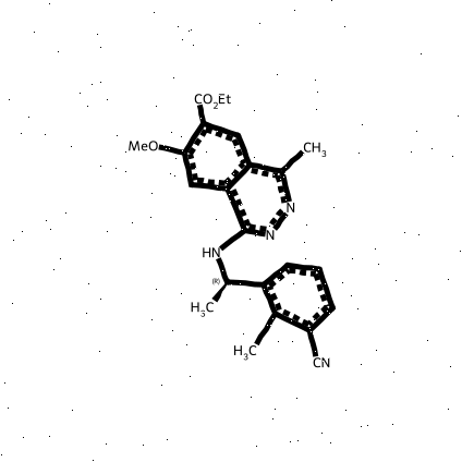 CCOC(=O)c1cc2c(C)nnc(N[C@H](C)c3cccc(C#N)c3C)c2cc1OC